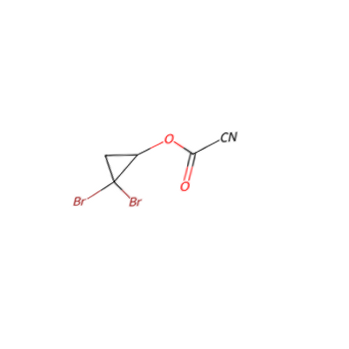 N#CC(=O)OC1CC1(Br)Br